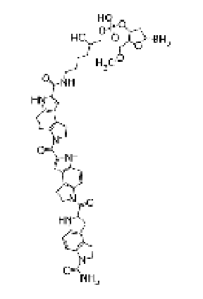 BC1CC(OP(=O)(O)OCC(O)CCCCNC(=O)c2cc3c4c(ccc3[nH]2)N(C(=O)c2cc3c5c(ccc3[nH]2)N(C(=O)C2Cc3c(ccc6c3CCN6C(N)=O)N2)CC5)CC4)C(COC)O1